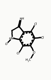 COc1c(Cl)c(Cl)c2c(c1Cl)[NH+]([O-])CC2=N